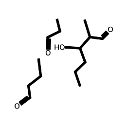 CCC=O.CCCC(O)C(C)C=O.CCCC=O